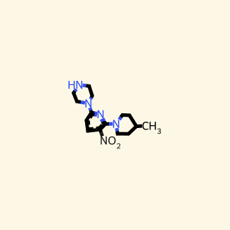 CC1CCN(c2nc(N3CCNCC3)ccc2[N+](=O)[O-])CC1